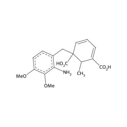 COc1ccc(CC2(C(=O)O)C=CC=C(C(=O)O)C2C)c(N)c1OC